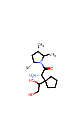 CC1[C@@H](C)C[C@@H](C#N)N1C(=O)[C@@H](N)C1(C(O)CO)CCCC1